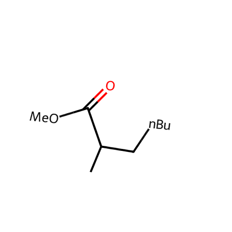 CCCCCC(C)C(=O)OC